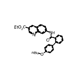 CCCCOc1ccc(-c2ccccc2C(=O)Nc2ccc3cc(C(=O)OCC)cnc3c2)cc1